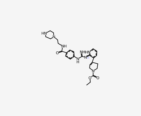 CCOC(=O)N1CC=C(c2ccc[nH]/c2=N\C(=N)Nc2ccc(C(=O)NCCN3CCNCC3)cc2)CC1